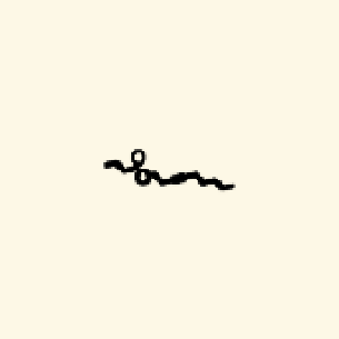 CCCCCC#CCCOC(=O)CCC